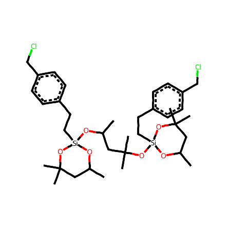 CC1CC(C)(C)O[Si](CCc2ccc(CCl)cc2)(OC(C)CC(C)(C)O[Si]2(CCc3ccc(CCl)cc3)OC(C)CC(C)(C)O2)O1